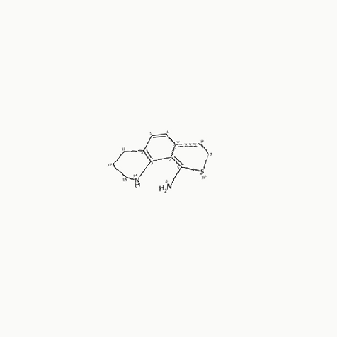 NC1=c2c3c(ccc2=CCS1)CCCN3